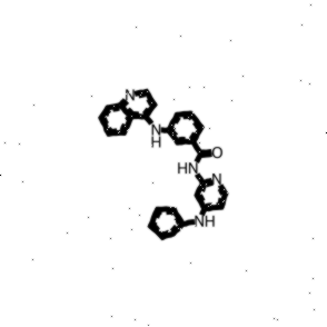 O=C(Nc1cc(Nc2ccccc2)ccn1)c1cccc(Nc2ccnc3ccccc23)c1